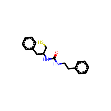 O=C(NCCc1ccccc1)NC(CS)Cc1ccccc1